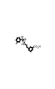 O=C(O)c1cccc(CCNCOS(=O)(=O)c2cccc(F)c2)c1